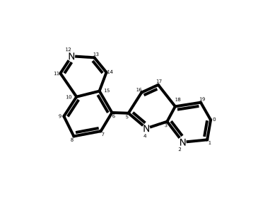 c1cnc2nc(-c3cccc4cnccc34)ccc2c1